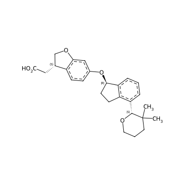 CC1(C)CCCO[C@@H]1c1cccc2c1CC[C@H]2Oc1ccc2c(c1)OC[C@H]2CC(=O)O